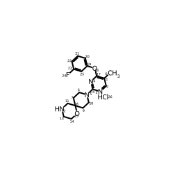 Cc1cnc(N2CCC3(CC2)CNCCO3)nc1Oc1cccc(F)c1.Cl